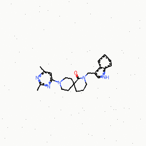 Cc1cc(N2CCC3(CCCN(Cc4c[nH]c5ccccc45)C3=O)CC2)nc(C)n1